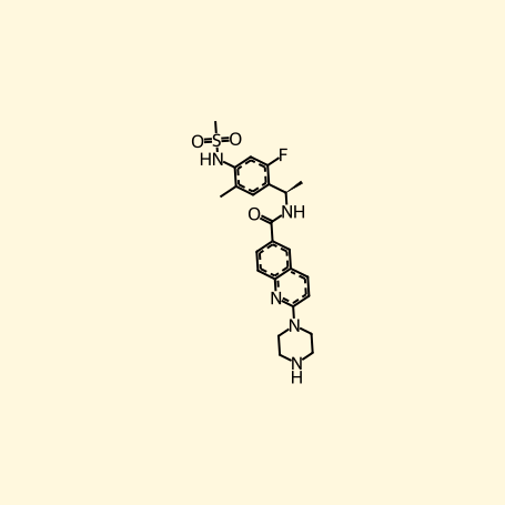 Cc1cc([C@@H](C)NC(=O)c2ccc3nc(N4CCNCC4)ccc3c2)c(F)cc1NS(C)(=O)=O